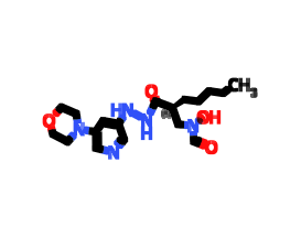 CCCCC[C@@H](CN(O)C=O)C(=O)NNc1cncc(N2CCOCC2)c1